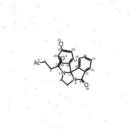 CC(=O)CCC(=O)N1CCN2C(=O)c3ccccc3C12c1ccc(Cl)cc1